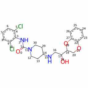 O=C(Nc1c(Cl)cccc1Cl)N1CCC(NCC(O)C2COc3ccccc3O2)CC1